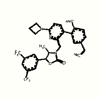 COc1ccc(CC#N)cc1-c1ccc(N2CCC2)nc1CN1C(=O)OC(c2cc(C(F)(F)F)cc(C(F)(F)F)c2)C1C